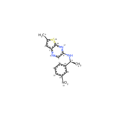 Cc1cc2ncc(N[C@@H](C)c3cccc([N+](=O)[O-])c3)nc2s1